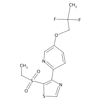 CCS(=O)(=O)c1scnc1-c1ccc(OCC(C)(F)F)cn1